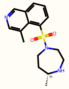 Cc1cncc2cccc(S(=O)(=O)N3CCN[C@H](C)CC3)c12